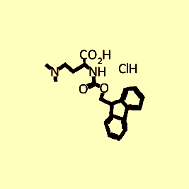 CN(C)CC[C@H](NC(=O)OCC1c2ccccc2-c2ccccc21)C(=O)O.Cl